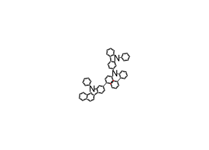 c1ccc(-c2ccccc2N(c2ccc(-c3ccc4c5ccc6ccccc6c5n(-c5ccccc5)c4c3)cc2)c2ccc3c4ccccc4n(-c4ccccc4)c3c2)cc1